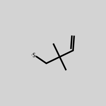 C=CC(C)(C)C[S]